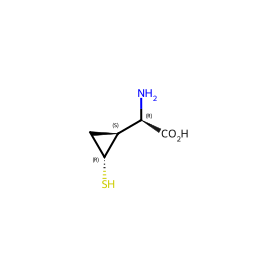 N[C@@H](C(=O)O)[C@@H]1C[C@H]1S